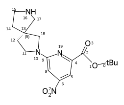 CC(C)(C)OC(=O)c1cc([N+](=O)[O-])cc(N2CC[C@@]3(CCNC3)C2)n1